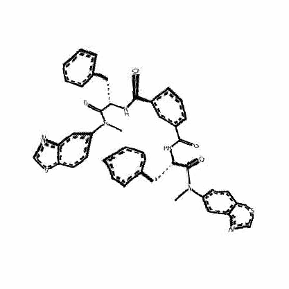 CN(C(=O)[C@H](Cc1ccccc1)NC(=O)c1cccc(C(=O)N[C@@H](Cc2ccccc2)C(=O)N(C)c2ccc3scnc3c2)c1)c1ccc2scnc2c1